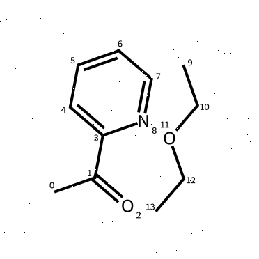 CC(=O)c1ccccn1.CCOCC